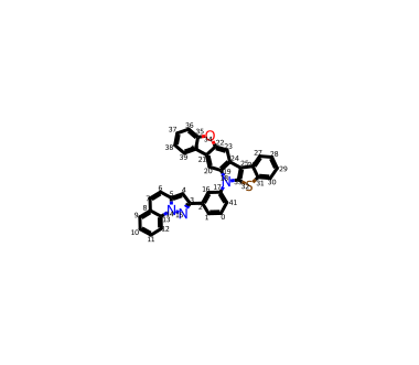 c1cc(-c2cc3ccc4ccccc4n3n2)cc(-n2c3cc4c(cc3c3c5ccccc5sc32)oc2ccccc24)c1